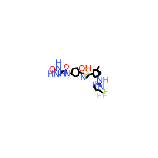 Cc1cc(Nc2nccc(C(F)(F)F)n2)cc(-c2cnc([C@]3(O)CC[C@H](NC(=O)C4CNC(=O)N4)CC3)s2)c1